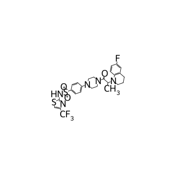 C[C@@H](C(=O)N1CCN(c2ccc(S(=O)(=O)Nc3nc(C(F)(F)F)cs3)cc2)CC1)N1CCCc2cc(F)ccc21